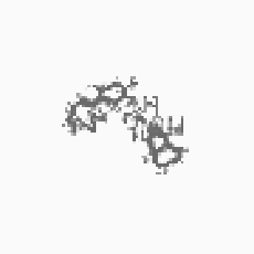 Cc1cc(F)c(NC(=O)N2C[C@@H]3C[C@H]2c2ccccc23)cc1-c1cccnn1